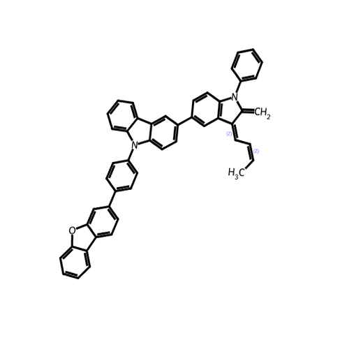 C=c1/c(=C\C=C/C)c2cc(-c3ccc4c(c3)c3ccccc3n4-c3ccc(-c4ccc5c(c4)oc4ccccc45)cc3)ccc2n1-c1ccccc1